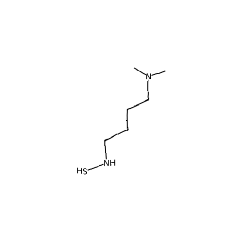 CN(C)CCCCNS